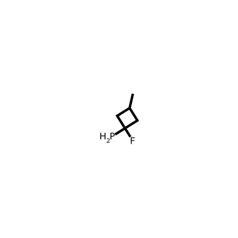 CC1CC(F)(P)C1